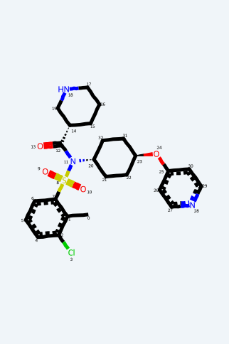 Cc1c(Cl)cccc1S(=O)(=O)N(C(=O)[C@H]1CCCNC1)[C@H]1CC[C@H](Oc2ccncc2)CC1